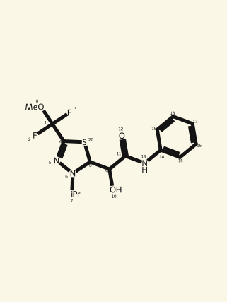 COC(F)(F)C1=NN(C(C)C)C(C(O)C(=O)Nc2ccccc2)S1